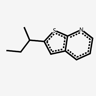 CCC(C)c1cc2cccnc2s1